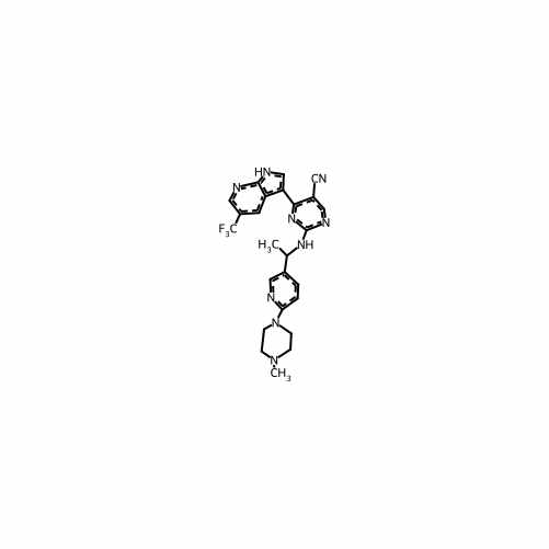 CC(Nc1ncc(C#N)c(-c2c[nH]c3ncc(C(F)(F)F)cc23)n1)c1ccc(N2CCN(C)CC2)nc1